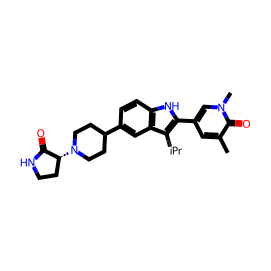 Cc1cc(-c2[nH]c3ccc(C4CCN([C@@H]5CCNC5=O)CC4)cc3c2C(C)C)cn(C)c1=O